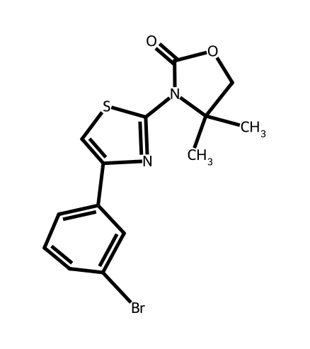 CC1(C)COC(=O)N1c1nc(-c2cccc(Br)c2)cs1